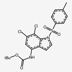 Cc1ccc(S(=O)(=O)n2ccc3c(NC(=O)OC(C)(C)C)cc(Cl)c(Cl)c32)cc1